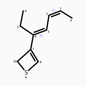 C/C=C\C=C(/CC)C1=CSC1